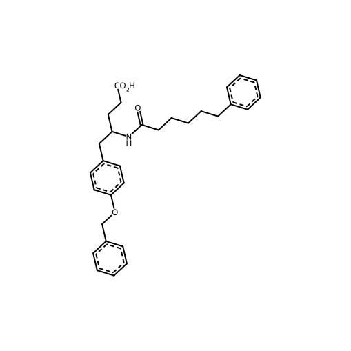 O=C(O)CCC(Cc1ccc(OCc2ccccc2)cc1)NC(=O)CCCCCc1ccccc1